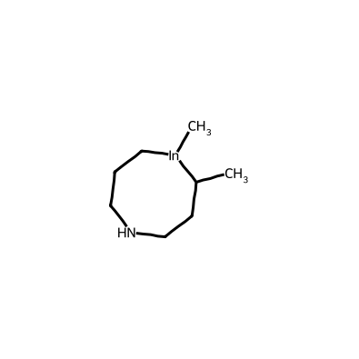 C[CH]1CCNCC[CH2][In]1[CH3]